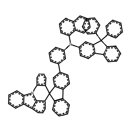 c1ccc(C2(c3ccccc3)c3ccccc3-c3ccc(N(c4cccc(-c5ccc6c(c5)C5(c7ccccc7-6)c6ccccc6-n6c7ccccc7c7cccc5c76)c4)c4cccc5ccccc45)cc32)cc1